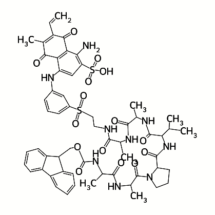 C=CC1=C(C)C(=O)c2c(Nc3cccc(S(=O)(=O)CCNC(=O)C(C)NC(=O)C(C)NC(=O)C(NC(=O)C4CCCN4C(=O)C(C)NC(=O)C(C)NC(=O)OCC4c5ccccc5-c5ccccc54)C(C)C)c3)cc(S(=O)(=O)O)c(N)c2C1=O